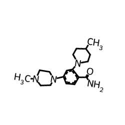 CC1CCN(c2cc(N3CCN(C)CC3)ccc2C(N)=O)CC1